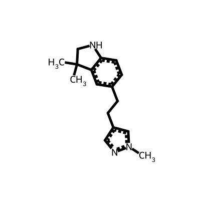 Cn1cc(CCc2ccc3c(c2)C(C)(C)CN3)cn1